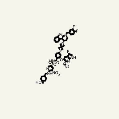 CCOc1nc2[nH]cc(F)c2cc1Oc1cc(N2CC3(C2)CN(C2CCN(Cc4ccc(F)c(F)c4)CC2c2ccccc2C(C)C)C3)ccc1C(=O)NS(=O)(=O)c1cnc(NCC2CCC(C)(O)CC2)c([N+](=O)[O-])c1